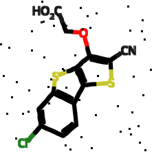 N#Cc1sc2c(sc3cc(Cl)ccc32)c1OCC(=O)O